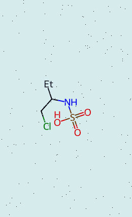 CCC(CCl)NS(=O)(=O)O